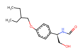 CCC(CC)COc1ccc([C@H](CO)NC=O)cc1